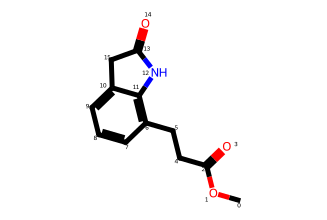 COC(=O)CCc1cccc2c1NC(=O)C2